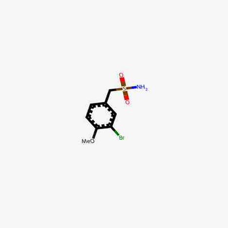 COc1ccc(CS(N)(=O)=O)cc1Br